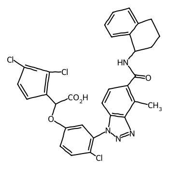 Cc1c(C(=O)NC2CCCc3ccccc32)ccc2c1nnn2-c1cc(OC(C(=O)O)c2ccc(Cl)cc2Cl)ccc1Cl